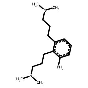 CN(C)CCCc1cccc(P)c1CCCN(C)C